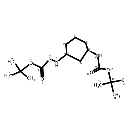 CC(C)(C)OC(=O)NNC1CCC[C@@H](NC(=O)OC(C)(C)C)C1